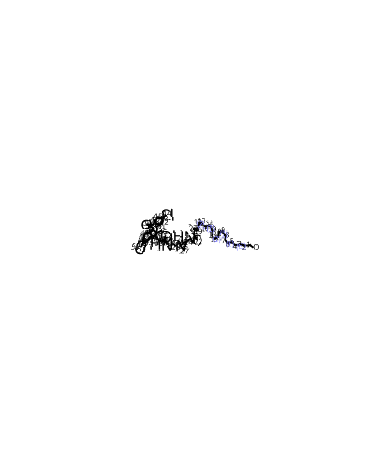 CC/C=C/C/C=C/C/C=C\C/C=C\C/C=C\C/C=C\CCC(=O)NCCN(C)CCNC(=O)Cc1c(C)n(C(=O)c2ccc(Cl)cc2)c2ccc(OC)cc12